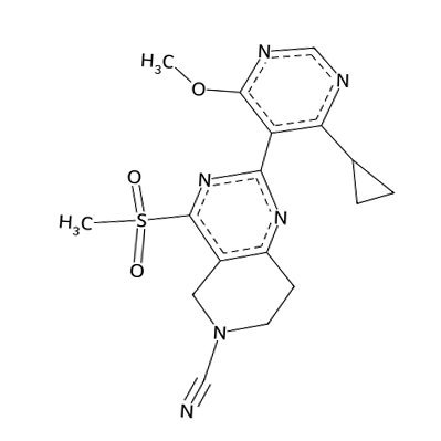 COc1ncnc(C2CC2)c1-c1nc2c(c(S(C)(=O)=O)n1)CN(C#N)CC2